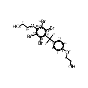 CC(C)(c1ccc(OCCO)cc1)c1c(Br)c(Br)c(OCCO)c(Br)c1Br